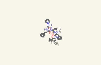 CC(C)C[C@H](NC(=O)[C@H](CCc1ccccc1)NC(=O)CNN1CCCCC1)C(=O)N[C@@H](Cc1ccccc1)C(=O)N[C@@H](CC(C)C)C(=O)C1(C)CC1